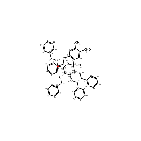 Cc1cc(OCc2ccccc2)c([C@]2(O)O[C@H](COCc3ccccc3)[C@@H](OCc3ccccc3)[C@H](OCc3ccccc3)[C@H]2OCc2ccccc2)cc1C=O